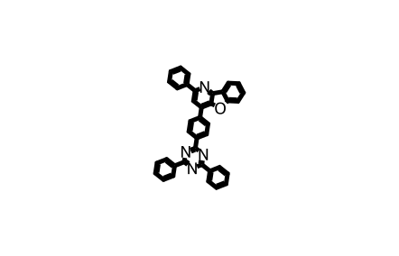 c1ccc(-c2cc(-c3ccc(-c4nc(-c5ccccc5)nc(-c5ccccc5)n4)cc3)c3oc4ccccc4c3n2)cc1